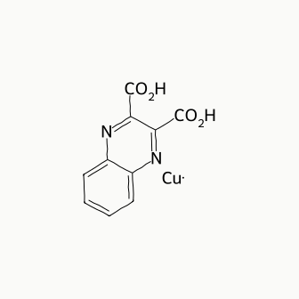 O=C(O)c1nc2ccccc2nc1C(=O)O.[Cu]